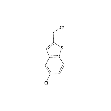 ClCc1cc2cc(Cl)ccc2s1